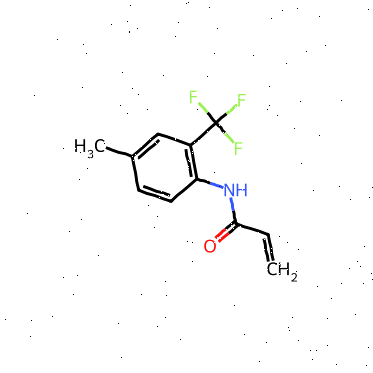 C=CC(=O)Nc1ccc(C)cc1C(F)(F)F